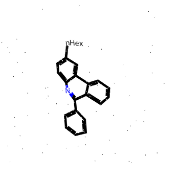 CCCCCCc1ccc2nc(-c3ccccc3)c3ccccc3c2c1